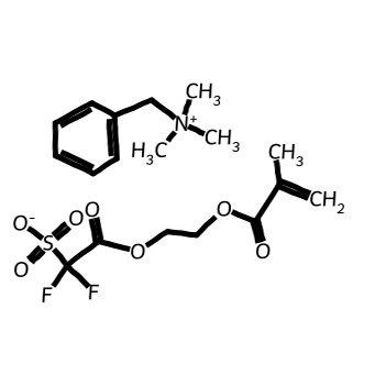 C=C(C)C(=O)OCCOC(=O)C(F)(F)S(=O)(=O)[O-].C[N+](C)(C)Cc1ccccc1